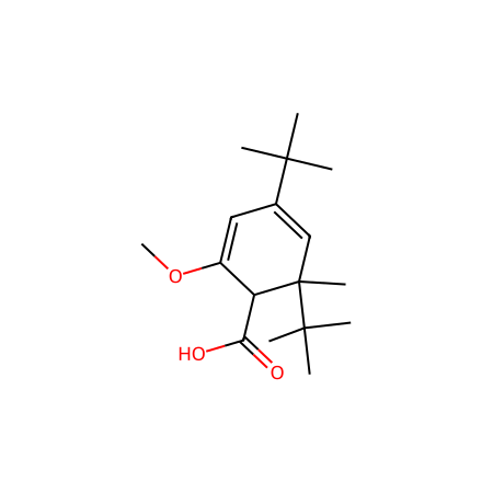 COC1=CC(C(C)(C)C)=CC(C)(C(C)(C)C)C1C(=O)O